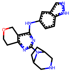 c1cc2[nH]ncc2cc1Nc1nc(N2C3CCC2CNC3)nc2c1COCC2